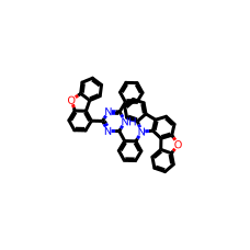 c1ccc(C2=NC(c3cccc4oc5ccccc5c34)=NC(c3ccccc3-n3c4ccccc4c4ccc5oc6ccccc6c5c43)N2)cc1